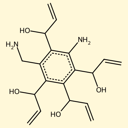 C=CC(O)c1c(N)c(C(O)C=C)c(C(O)C=C)c(C(O)C=C)c1CN